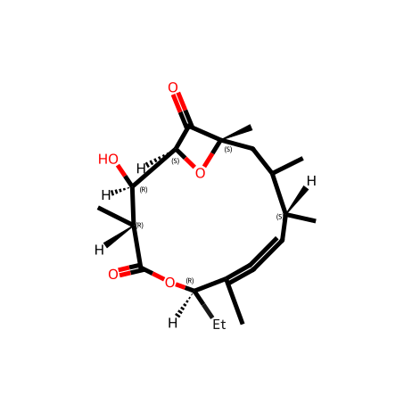 CC[C@H]1OC(=O)[C@H](C)[C@@H](O)[C@@H]2O[C@@](C)(CC(C)[C@H](C)C=C=C1C)C2=O